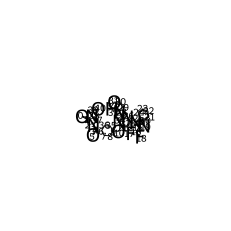 O=C1CN(C(=O)[C@H]2CC[C@H](Oc3cc(-n4c(C(F)F)nc5ccccc54)nc(N4CCOCC4)n3)CC2)CN1CO